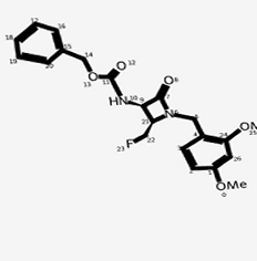 COc1ccc(CN2C(=O)[C@H](NC(=O)OCc3ccccc3)[C@@H]2CF)c(OC)c1